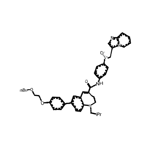 CCCCOCCOc1ccc(-c2ccc3c(c2)C=C(C(=O)Nc2ccc([S+]([O-])Cc4cnc5ccccn45)cc2)CCN3CC(C)C)cc1